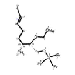 COCO[C@H](CO[Si](C(C)C)(C(C)C)C(C)C)[C@H](C)CC/C=C/I